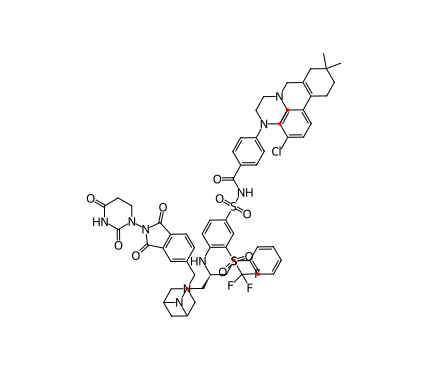 CC1(C)CCC(c2ccc(Cl)cc2)=C(CN2CCN(c3ccc(C(=O)NS(=O)(=O)c4ccc(N[C@H](CCN5C6CC5CN(Cc5ccc7c(c5)C(=O)N(N5CCC(=O)NC5=O)C7=O)C6)CSc5ccccc5)c(S(=O)(=O)C(F)(F)F)c4)cc3)CC2)C1